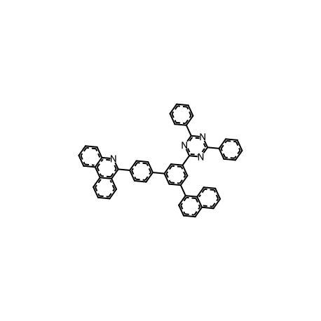 c1ccc(-c2nc(-c3ccccc3)nc(-c3cc(-c4ccc(-c5nc6ccccc6c6ccccc56)cc4)cc(-c4cccc5ccccc45)c3)n2)cc1